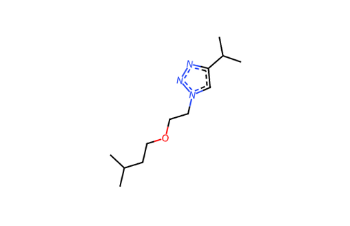 CC(C)CCOCCn1cc(C(C)C)nn1